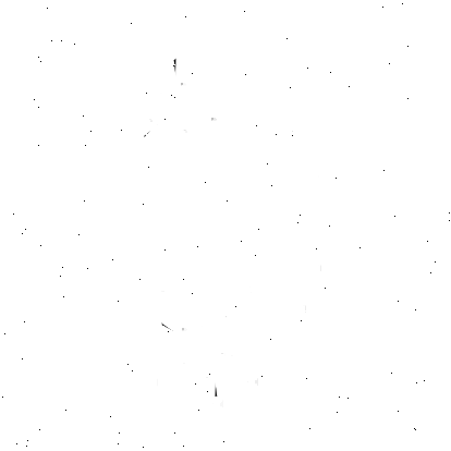 CC(C)c1cc(-c2ccc(O[C@H]3O[C@H](CO)[C@@H](O)[C@H](O)[C@]3(C)O)c(C(C)C)c2)ccc1O[C@H]1O[C@H](CO)[C@@H](O)[C@H](O)[C@]1(C)O